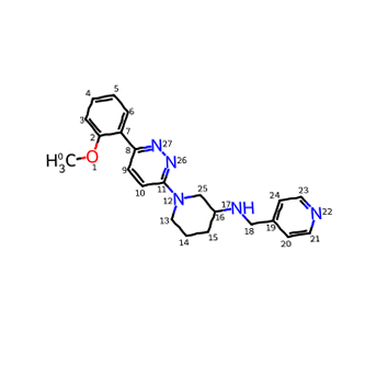 COc1ccccc1-c1ccc(N2CCCC(NCc3ccncc3)C2)nn1